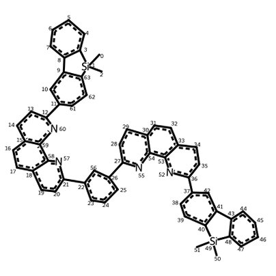 C[Si]1(C)c2ccccc2-c2cc(-c3ccc4ccc5ccc(-c6cccc(-c7ccc8ccc9ccc(-c%10ccc%11c(c%10)-c%10ccccc%10[Si]%11(C)C)nc9c8n7)c6)nc5c4n3)ccc21